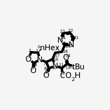 CCCCCC[C@H]1COC(=O)N1C1C(=O)N(C(C(=O)O)C(=O)C(C)(C)C)C1CCc1ncccn1